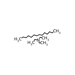 CCCCCCCCCCCCCC.CCN(CC)CC